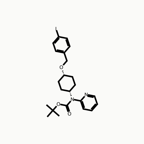 CC(C)(C)OC(=O)N(c1ccccn1)[C@H]1CC[C@@H](OCc2ccc(I)cc2)CC1